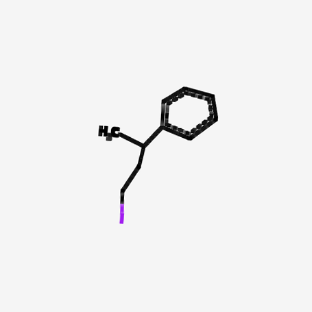 CC(CCI)c1ccccc1